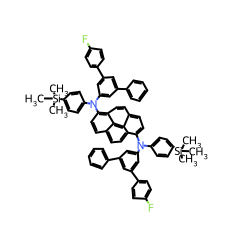 C[Si](C)(C)c1ccc(N(c2cc(-c3ccccc3)cc(-c3ccc(F)cc3)c2)c2ccc3ccc4c(N(c5ccc([Si](C)(C)C)cc5)c5cc(-c6ccccc6)cc(-c6ccc(F)cc6)c5)ccc5ccc2c3c54)cc1